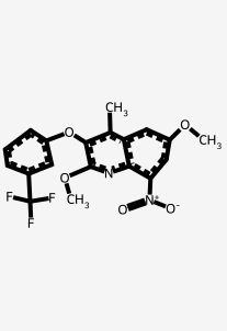 COc1cc([N+](=O)[O-])c2nc(OC)c(Oc3cccc(C(F)(F)F)c3)c(C)c2c1